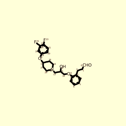 O=CCCc1ccccc1OCC(O)CN1CCC(Oc2ccc(F)c(F)c2)CC1